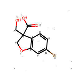 O=C(O)C1(CO)COc2cc(Br)ccc21